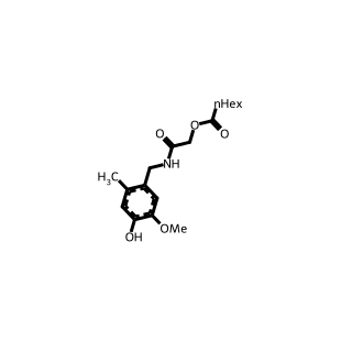 CCCCCCC(=O)OCC(=O)NCc1cc(OC)c(O)cc1C